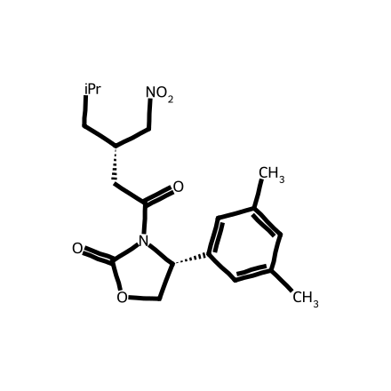 Cc1cc(C)cc([C@@H]2COC(=O)N2C(=O)C[C@H](CC(C)C)C[N+](=O)[O-])c1